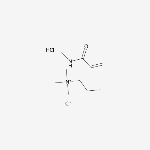 C=CC(=O)NC.CCC[N+](C)(C)C.Cl.[Cl-]